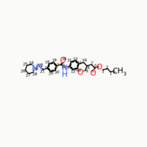 CCCCOC(=O)CC1COc2cc(NC(=O)c3ccc(/C=N/N4CCCCC4)cc3)ccc2C1